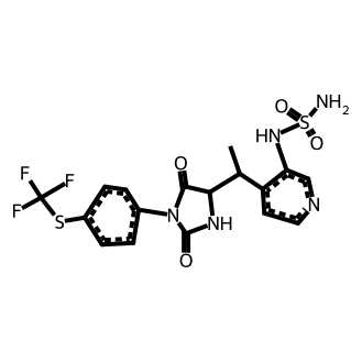 CC(c1ccncc1NS(N)(=O)=O)C1NC(=O)N(c2ccc(SC(F)(F)F)cc2)C1=O